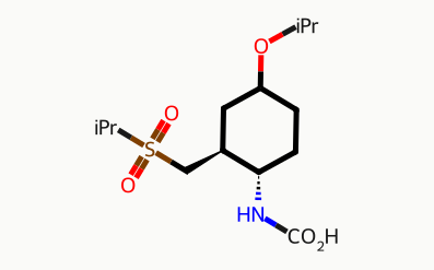 CC(C)OC1CC[C@H](NC(=O)O)[C@@H](CS(=O)(=O)C(C)C)C1